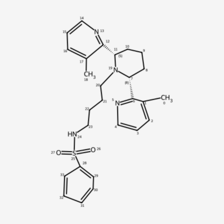 Cc1cccnc1[C@H]1CCC[C@@H](c2ncccc2C)N1CCCCNS(=O)(=O)c1ccccc1